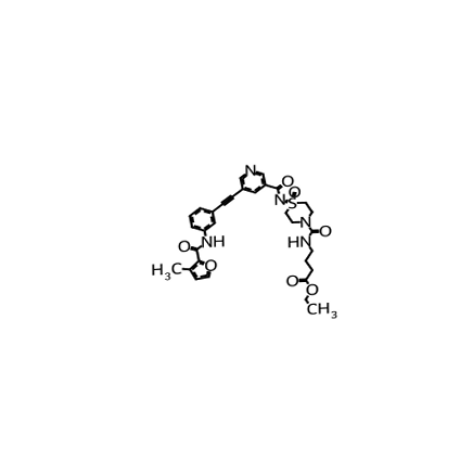 CCOC(=O)CCCNC(=O)N1CCS(=O)(=NC(=O)c2cncc(C#Cc3cccc(NC(=O)c4occc4C)c3)c2)CC1